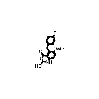 COc1ccc2c(c1Cc1ccc(F)cc1)C(=O)OC(O)N2